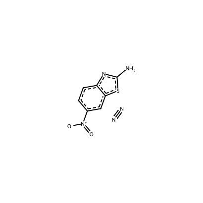 N#N.Nc1nc2ccc([N+](=O)[O-])cc2s1